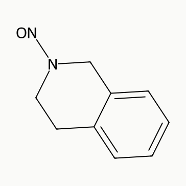 O=NN1CCc2ccccc2C1